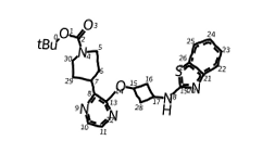 CC(C)(C)OC(=O)N1CCC(c2nccnc2OC2CC(Nc3nc4ccccc4s3)C2)CC1